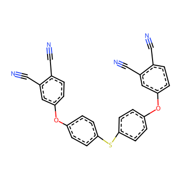 N#Cc1ccc(Oc2ccc(Sc3ccc(Oc4ccc(C#N)c(C#N)c4)cc3)cc2)cc1C#N